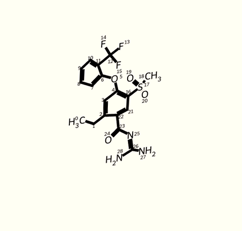 CCc1cc(Oc2ccccc2C(F)(F)F)c(S(C)(=O)=O)cc1C(=O)N=C(N)N